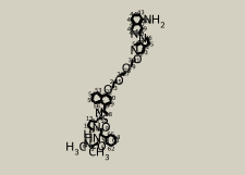 CN[C@@H](C)C(=O)N[C@H](C(=O)N1CCC[C@H]1c1nc(-c2ccc(OCCOCCOCCOc3cc4ccn(-c5cc6c(N)cccc6cn5)c4cn3)c3ccccc23)cs1)C1CCCCC1